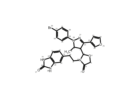 CC1C(C2OCC(=O)N2CCc2ccc3[nH]c(=O)[nH]c3c2)C(c2ccoc2)=NN1c1ccc(Br)cc1